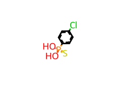 OP(O)(=S)c1ccc(Cl)cc1